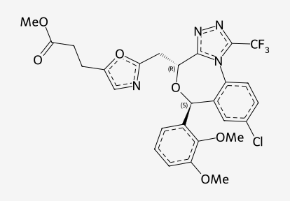 COC(=O)CCc1cnc(C[C@H]2O[C@H](c3cccc(OC)c3OC)c3cc(Cl)ccc3-n3c2nnc3C(F)(F)F)o1